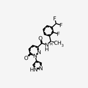 C[C@@H](NC(=O)c1ccc(=O)n(-c2cn[nH]c2)n1)c1cccc(C(F)F)c1F